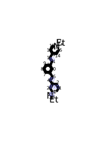 C\C=C/C(/C=C/c1cccc(/C=C/c2cc[n+](CC)cc2)c1)=C\C=N\CC